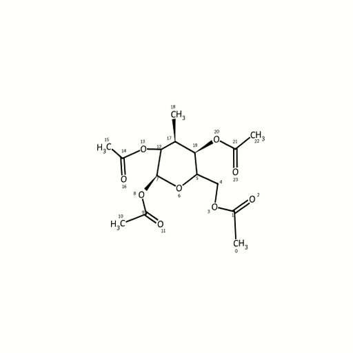 CC(=O)OCC1O[C@@H](OC(C)=O)C(OC(C)=O)[C@@H](C)[C@H]1OC(C)=O